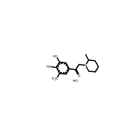 CC1CCCCN1CC(=O)c1cc(O)c(O)c([N+](=O)[O-])c1.Cl